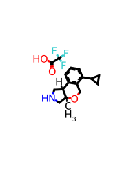 C[C@@]12CNC[C@@H]1c1cccc(C3CC3)c1CO2.O=C(O)C(F)(F)F